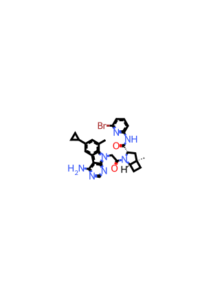 Cc1cc(C2CC2)cc2c3c(N)ncnc3n(CC(=O)N3[C@H](C(=O)Nc4cccc(Br)n4)C[C@@]4(C)CC[C@@H]34)c12